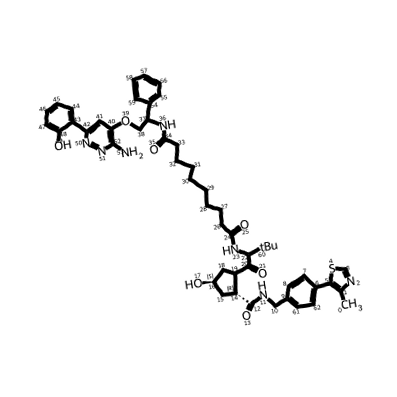 Cc1ncsc1-c1ccc(CNC(=O)[C@@H]2C[C@@H](O)CC2C(=O)C(NC(=O)CCCCCCCCC(=O)NC(COc2cc(-c3ccccc3O)nnc2N)c2ccccc2)C(C)(C)C)cc1